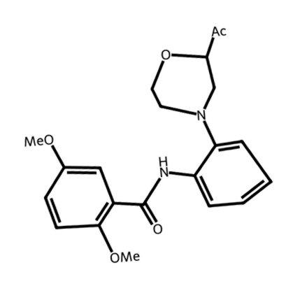 COc1ccc(OC)c(C(=O)Nc2ccccc2N2CCOC(C(C)=O)C2)c1